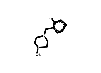 CN1CCN(Cc2ccccc2C(F)(F)F)CC1